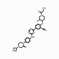 N#Cc1cc(-c2ncnc(Nc3ccc(N4CCN(C5COC5)CC4=O)cc3)n2)ccc1OC1CCN(C(=O)CO)CC1F